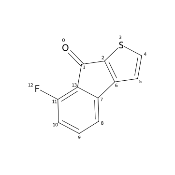 O=C1c2sccc2-c2cccc(F)c21